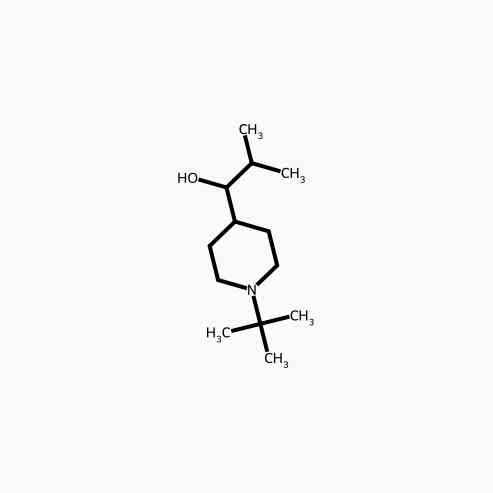 CC(C)C(O)C1CCN(C(C)(C)C)CC1